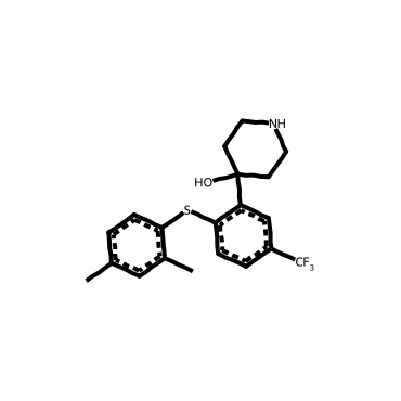 Cc1ccc(Sc2ccc(C(F)(F)F)cc2C2(O)CCNCC2)c(C)c1